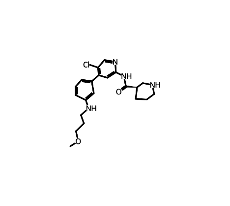 COCCCNc1cccc(-c2cc(NC(=O)[C@@H]3CCCNC3)ncc2Cl)c1